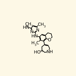 CNc1cc(C)nc(Nc2cc3c(c(C4=CCNC[C@H](O)C4)c2C)OCCC3)n1